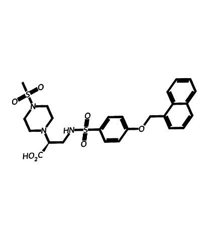 CS(=O)(=O)N1CCN([C@@H](CNS(=O)(=O)c2ccc(OCc3cccc4ccccc34)cc2)C(=O)O)CC1